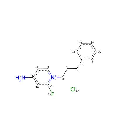 Nc1cc[n+](CCCc2ccccc2)c(F)c1.[Cl-]